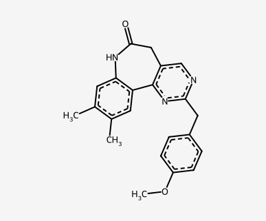 COc1ccc(Cc2ncc3c(n2)-c2cc(C)c(C)cc2NC(=O)C3)cc1